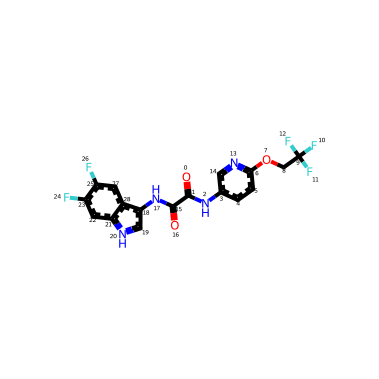 O=C(Nc1ccc(OCC(F)(F)F)nc1)C(=O)Nc1c[nH]c2cc(F)c(F)cc12